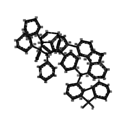 CC1(C)c2ccccc2-c2c(N(c3ccc(C4=CCC=CC=C4)cc3)c3cccc4oc5ccc(-c6ccc7c(c6)N(c6ccccc6)P(=O)(c6ccccc6)N7c6ccccc6)cc5c34)cccc21